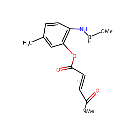 CNC(=O)/C=C/C(=O)Oc1cc(C)ccc1NBOC